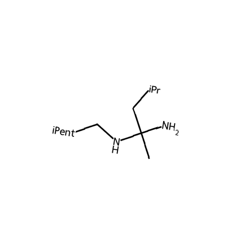 CCCC(C)CNC(C)(N)CC(C)C